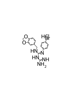 Cl.N=C(N)NC(=Nc1ccc(Br)cc1)NCc1ccc2c(c1)OCO2